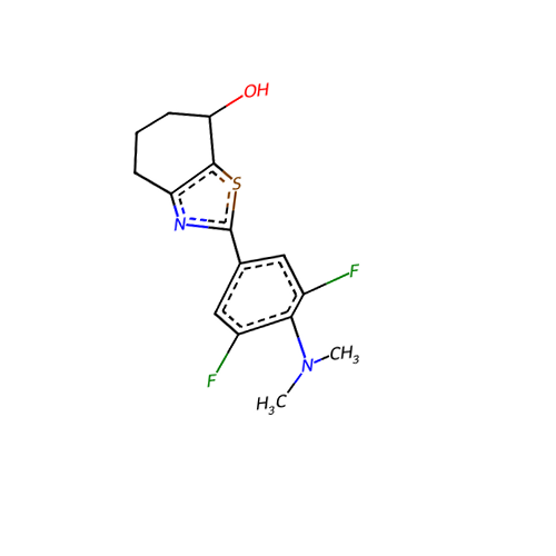 CN(C)c1c(F)cc(-c2nc3c(s2)C(O)CCC3)cc1F